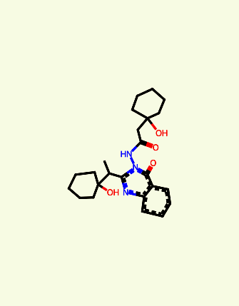 CC(c1nc2ccccc2c(=O)n1NC(=O)CC1(O)CCCCC1)C1(O)CCCCC1